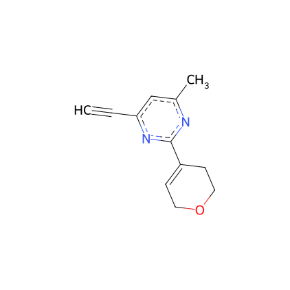 C#Cc1cc(C)nc(C2=CCOCC2)n1